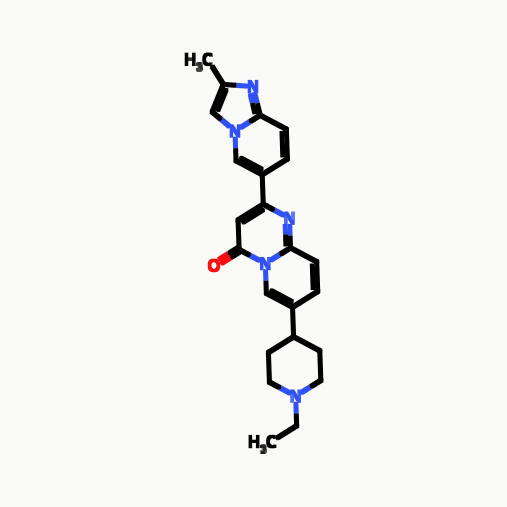 CCN1CCC(c2ccc3nc(-c4ccc5nc(C)cn5c4)cc(=O)n3c2)CC1